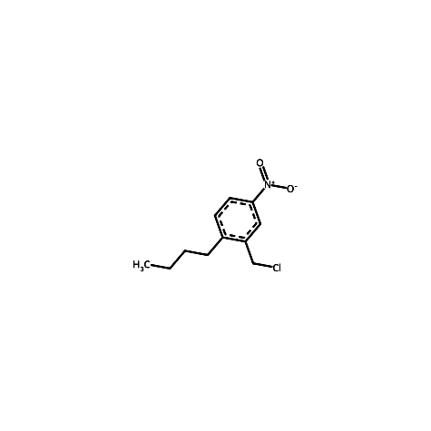 CCCCc1ccc([N+](=O)[O-])cc1CCl